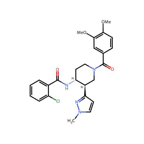 COc1ccc(C(=O)N2CC[C@@H](NC(=O)c3ccccc3Cl)[C@H](c3ccn(C)n3)C2)cc1OC